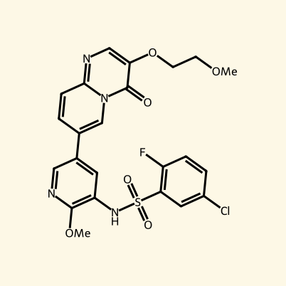 COCCOc1cnc2ccc(-c3cnc(OC)c(NS(=O)(=O)c4cc(Cl)ccc4F)c3)cn2c1=O